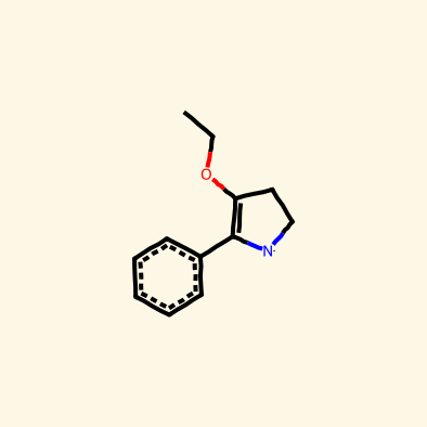 CCOC1=C(c2ccccc2)[N]CC1